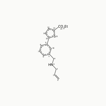 C=CCNCc1cccc(-c2ccc(C(=O)OCC)s2)c1